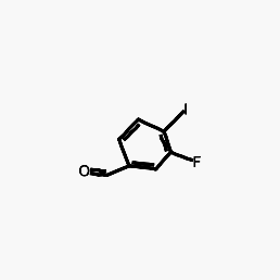 O=Cc1ccc(I)c(F)c1